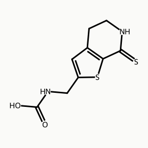 O=C(O)NCc1cc2c(s1)C(=S)NCC2